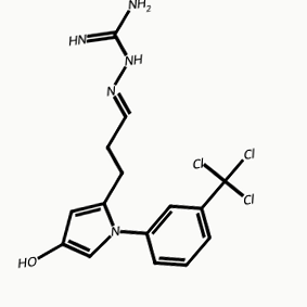 N=C(N)NN=CCCc1cc(O)cn1-c1cccc(C(Cl)(Cl)Cl)c1